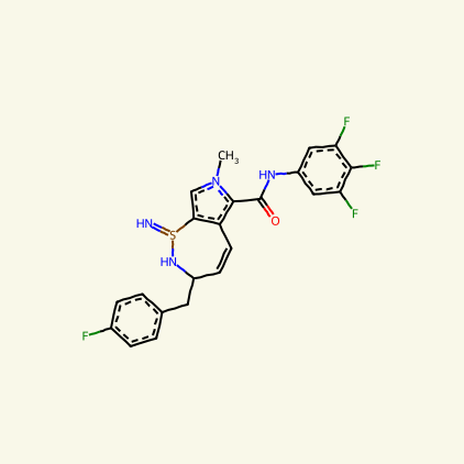 Cn1cc2c(c1C(=O)Nc1cc(F)c(F)c(F)c1)C=CC(Cc1ccc(F)cc1)NS2=N